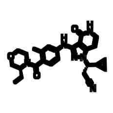 CC[C@H]1COCCN1C(=O)c1ccc(Nc2nn([C@@H](CC#N)C3CC3)c3cc[nH]c(=O)c23)cc1C